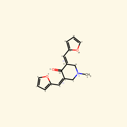 CN1C/C(=C/c2ccco2)C(=O)/C(=C/c2ccco2)C1